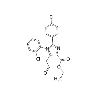 CCOC(=O)c1nc(-c2ccc(Cl)cc2)n(-c2ccccc2Cl)c1CC=O